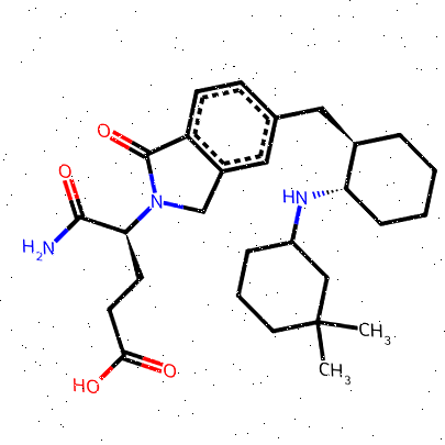 CC1(C)CCCC(N[C@H]2CCCC[C@@H]2Cc2ccc3c(c2)CN([C@@H](CCC(=O)O)C(N)=O)C3=O)C1